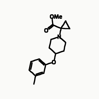 COC(=O)C1(N2CCC(Oc3cccc(C)c3)CC2)CC1